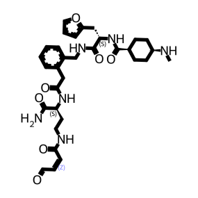 CN[C@H]1CC[C@@H](C(=O)N[C@@H](Cc2ccco2)C(=O)NCc2ccccc2CC(=O)N[C@@H](CCNC(=O)/C=C\C=O)C(N)=O)CC1